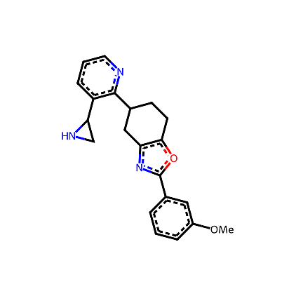 COc1cccc(-c2nc3c(o2)CCC(c2ncccc2C2CN2)C3)c1